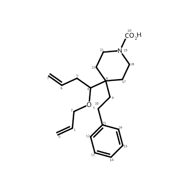 C=CCOC(CC=C)C1(CCc2ccccc2)CCN(C(=O)O)CC1